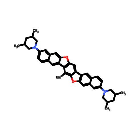 CC1CC(C)CN(c2ccc3cc4c(cc3c2)oc2c(C(C)(C)C)c3c(cc24)oc2cc4cc(N5CC(C)CC(C)C5)ccc4cc23)C1